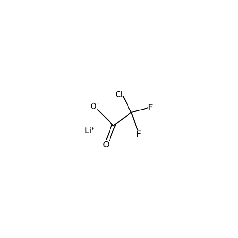 O=C([O-])C(F)(F)Cl.[Li+]